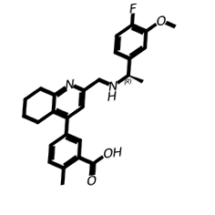 COc1cc([C@@H](C)NCc2cc(-c3ccc(C)c(C(=O)O)c3)c3c(n2)CCCC3)ccc1F